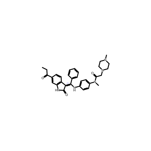 CCC(=O)c1ccc2c(c1)NC(=O)/C2=C(\Nc1ccc(N(C)C(=O)CN2CCN(C)CC2)cc1)c1ccccc1